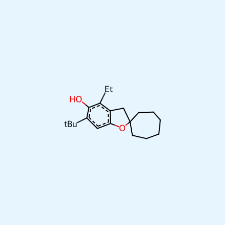 CCc1c(O)c(C(C)(C)C)cc2c1CC1(CCCCCC1)O2